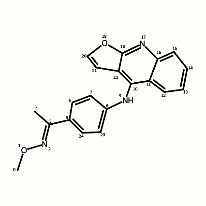 CO/N=C(\C)c1ccc(Nc2c3ccccc3nc3occc23)cc1